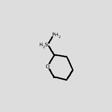 P[SiH2]C1CCCCO1